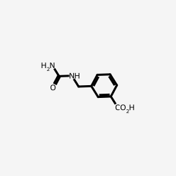 NC(=O)NCc1cccc(C(=O)O)c1